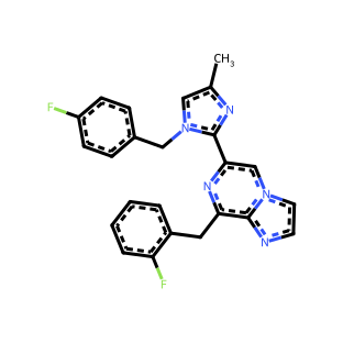 Cc1cn(Cc2ccc(F)cc2)c(-c2cn3ccnc3c(Cc3ccccc3F)n2)n1